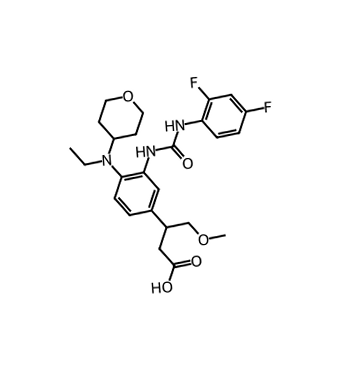 CCN(c1ccc(C(COC)CC(=O)O)cc1NC(=O)Nc1ccc(F)cc1F)C1CCOCC1